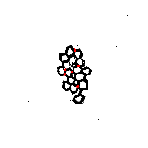 c1ccc(-c2ccc3c(c2)C2(c4cc(N(c5cccc6ccccc56)c5c(-c6ccccc6)ccc6ccccc56)ccc4-c4cccc5cccc2c45)c2cccc4cccc-3c24)cc1